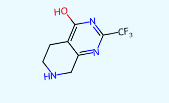 Oc1nc(C(F)(F)F)nc2c1CCNC2